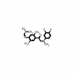 CCN(C)/C=N\c1cc(C)c(C(=O)CN(C)c2ccc(F)c(F)c2)cc1C